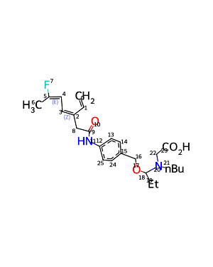 C=C/C(=C\C=C(/C)F)CC(=O)Nc1ccc(COC(CC)N(CCCC)CC(=O)O)cc1